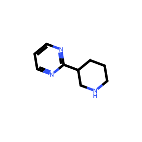 [CH]1CCNCC1c1ncccn1